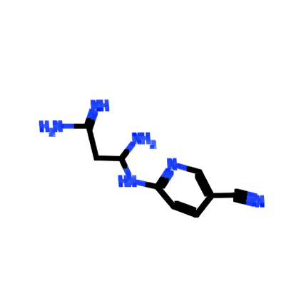 N#Cc1ccc(NC(N)CC(=N)N)nc1